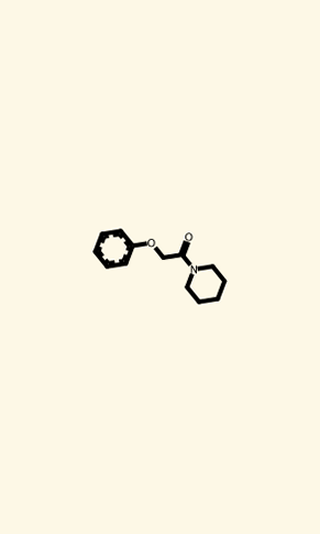 O=C(COc1ccccc1)N1CCCCC1